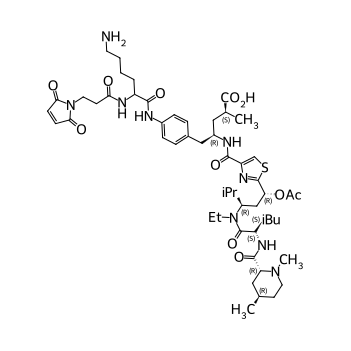 CC[C@H](C)[C@H](NC(=O)[C@H]1C[C@H](C)CCN1C)C(=O)N(CC)[C@H](C[C@@H](OC(C)=O)c1nc(C(=O)N[C@@H](Cc2ccc(NC(=O)C(CCCCN)NC(=O)CCN3C(=O)C=CC3=O)cc2)C[C@H](C)C(=O)O)cs1)C(C)C